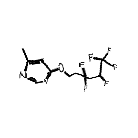 Cc1cc(OCC(F)(F)C(F)C(F)(F)F)ncn1